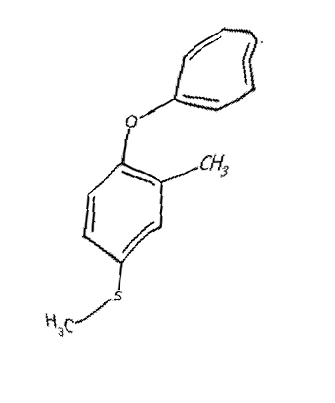 CSc1ccc(Oc2cc[c]cc2)c(C)c1